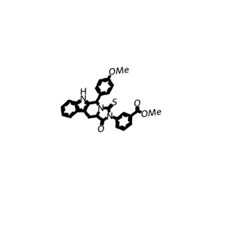 COC(=O)c1cccc(N2C(=O)C3Cc4c([nH]c5ccccc45)C(c4ccc(OC)cc4)N3C2=S)c1